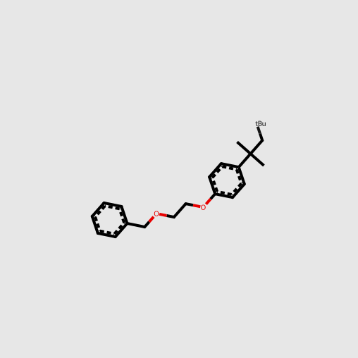 CC(C)(C)CC(C)(C)c1ccc(OCCOCc2ccccc2)cc1